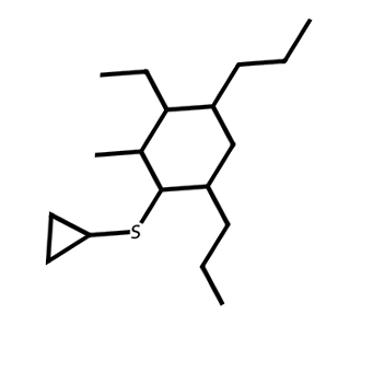 CCCC1CC(CCC)C(SC2CC2)C(C)C1CC